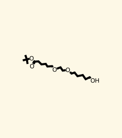 CC(C)(C)OC(=O)CCCCCOCCOCCCCCCO